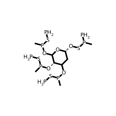 CP(P)SO[C@@H]1CC(OP(C)SP)[C@H](OP(C)SP)C(OP(C)SP)O1